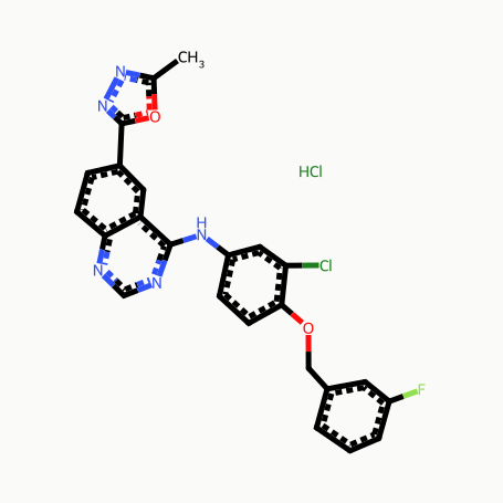 Cc1nnc(-c2ccc3ncnc(Nc4ccc(OCc5cccc(F)c5)c(Cl)c4)c3c2)o1.Cl